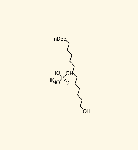 CCCCCCCCCCCCCCCCCCCCCCO.O=P(O)(O)O.[KH]